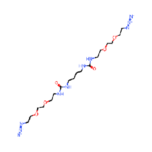 [N-]=[N+]=NCCOCCOCCNC(=O)NCCCCNC(=O)NCCOCCOCCN=[N+]=[N-]